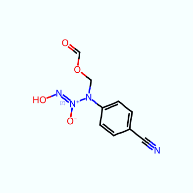 N#Cc1ccc(N(COC=O)/[N+]([O-])=N/O)cc1